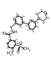 Cc1ccc(C(=O)NCc2cc(-c3cccc(N4CCOCC4)n3)ccn2)cc1S(C)(=O)=O